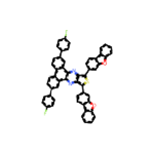 Fc1ccc(-c2ccc3c4ccc(-c5ccc(F)cc5)cc4c4nc5c(-c6ccc7c(c6)oc6ccccc67)sc(-c6ccc7c(c6)oc6ccccc67)c5nc4c3c2)cc1